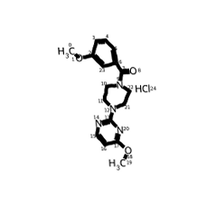 COc1cccc(C(=O)N2CCN(c3nccc(OC)n3)CC2)c1.Cl